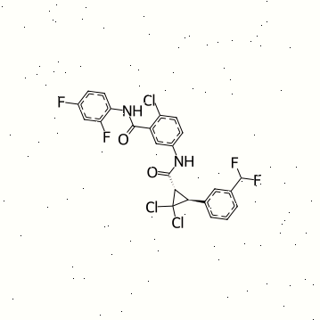 O=C(Nc1ccc(F)cc1F)c1cc(NC(=O)[C@@H]2[C@@H](c3cccc(C(F)F)c3)C2(Cl)Cl)ccc1Cl